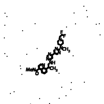 CNC(=O)c1ccnc2c([C@H](C)CNc3cc(-c4cnc(N(C)C5CCN(CC(F)F)CC5)nc4)ncn3)cccc12